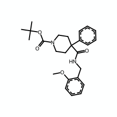 COc1ccccc1CNC(=O)C1(c2ccccc2)CCN(C(=O)OC(C)(C)C)CC1